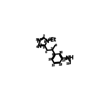 CCn1cnnc1CC(C)c1cccc(NI)c1